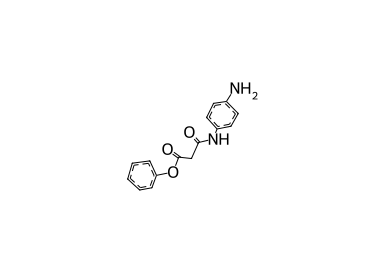 Nc1ccc(NC(=O)CC(=O)Oc2ccccc2)cc1